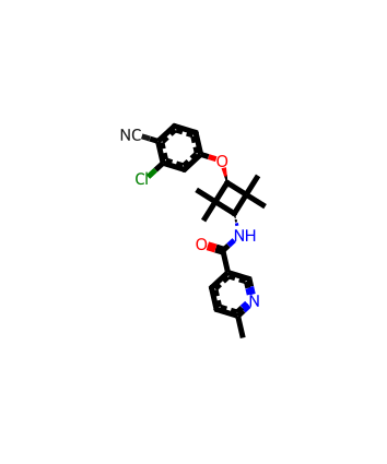 Cc1ccc(C(=O)N[C@H]2C(C)(C)[C@H](Oc3ccc(C#N)c(Cl)c3)C2(C)C)cn1